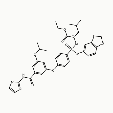 CCOC(=O)[C@@H](CC(C)C)NP(=O)(Oc1ccc2c(c1)OCO2)c1ccc(Oc2cc(OC(C)C)cc(C(=O)Nc3nccs3)c2)cc1